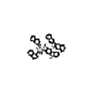 CC1C(c2nc(-c3ccc4ccccc4c3)nc(-c3cccc4ccccc34)n2)=Cc2oc3ccccc3c2C1n1c2cc3ccccc3cc2c2cc3ccccc3cc21